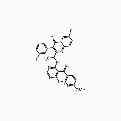 COc1ccc(C(=N)c2c(N)ncnc2NC(C)c2nc3ccc(F)cn3c(=O)c2-c2cccc(F)c2)cn1